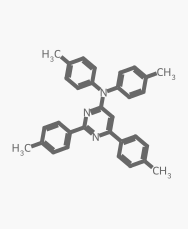 Cc1ccc(-c2cc(N(c3ccc(C)cc3)c3ccc(C)cc3)nc(-c3ccc(C)cc3)n2)cc1